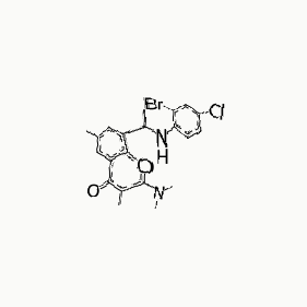 Cc1cc(C(C)Nc2ccc(Cl)cc2Br)c2oc(N(C)C)c(C)c(=O)c2c1